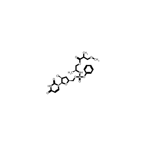 COCC(C)C(=O)OC[C@H](C)NP(=O)(OC[C@@H]1C[C@H](Cl)[C@H](n2ccc(=O)[nH]c2=O)O1)Oc1ccccc1